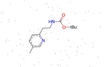 Cc1ccc(CCNC(=O)OC(C)(C)C)nc1